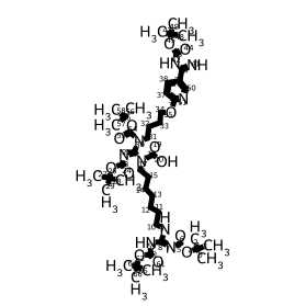 CC(C)(C)OC(=O)/N=C(\NCCCCCCCN(C(=O)O)/C(=N\C(=O)OC(C)(C)C)N(CCCCOc1ccc(C(=N)NC(=O)OC(C)(C)C)cn1)C(=O)OC(C)(C)C)NC(=O)OC(C)(C)C